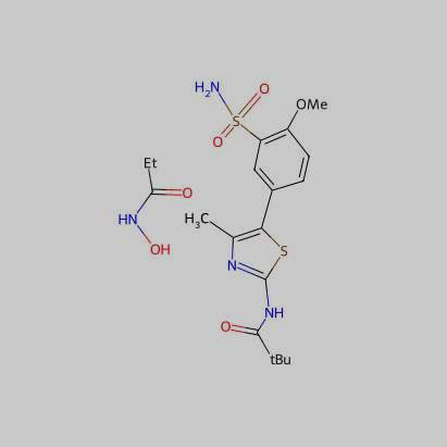 CCC(=O)NO.COc1ccc(-c2sc(NC(=O)C(C)(C)C)nc2C)cc1S(N)(=O)=O